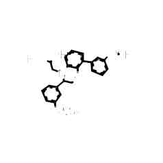 COc1cccc(C2COc3c(-c4cccc(OC(F)(F)F)c4)cccc3N2CC(O)C(F)(F)F)c1